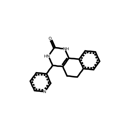 O=C1NC2=C(CCc3ccccc32)C(c2cccnc2)N1